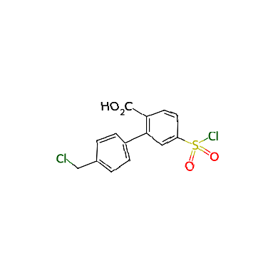 O=C(O)c1ccc(S(=O)(=O)Cl)cc1-c1ccc(CCl)cc1